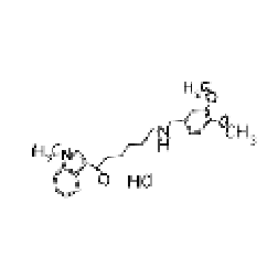 COc1ccc(CNCCCCCC(=O)c2cn(C)c3ccccc23)cc1OC.Cl